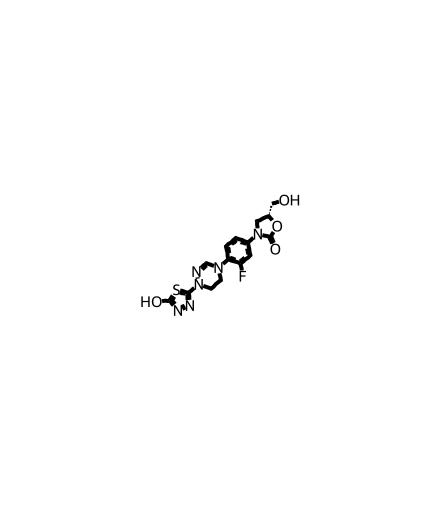 O=C1O[C@@H](CO)CN1c1ccc(N2C=NN(c3nnc(O)s3)CC2)c(F)c1